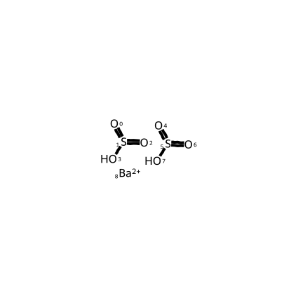 O=[S-](=O)O.O=[S-](=O)O.[Ba+2]